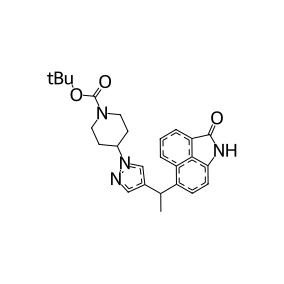 CC(c1cnn(C2CCN(C(=O)OC(C)(C)C)CC2)c1)c1ccc2c3c(cccc13)C(=O)N2